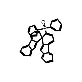 O=P(C1=CC=C2C(=Cc3ccccc32)C12C=CC=C1C2=Cc2ccccc21)(c1ccccc1)c1ccccc1